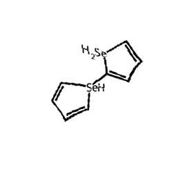 C1=C[SeH2]C([SeH]2C=CC=C2)=C1